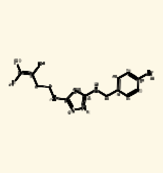 FC(F)=C(F)CCSc1nnc(SCc2ccc(Br)cc2)s1